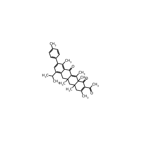 CC(=O)C1=C(C)CC2(C)CC3(C)Cc4c(C(C)C)cc(-c5ccc(C)cc5)c(C)c4C(=O)C3=C(C)C2(C)C1=O